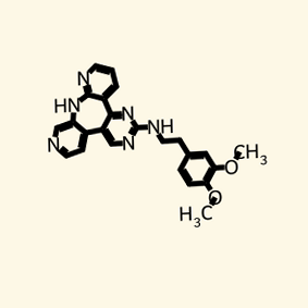 COc1ccc(CCNc2ncc3c(n2)-c2cccnc2Nc2cnccc2-3)cc1OC